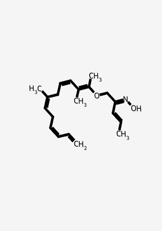 C=C/C=C\C/C=C(/C)C/C=C\C(C)=C(/C)OCC(/C=C/C)=N/O